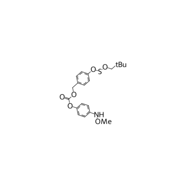 CONc1ccc(OC(=O)OCc2ccc(OSOCC(C)(C)C)cc2)cc1